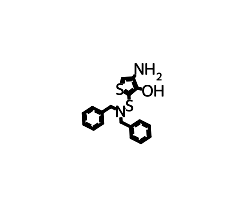 Nc1csc(SN(Cc2ccccc2)Cc2ccccc2)c1O